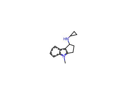 Cn1c2c(c3ccccc31)C(NC1CC1)CC2